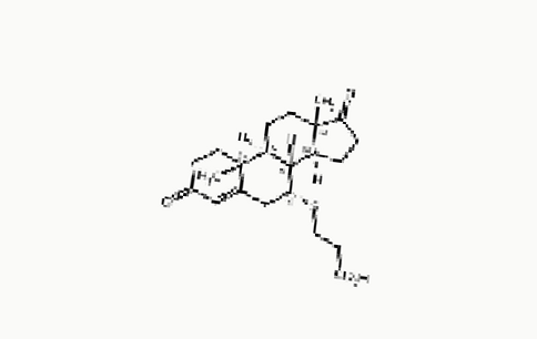 C[C@]12CCC(=O)C=C1C[C@@H](SCCC(=O)O)[C@@H]1[C@@H]2CC[C@]2(C)C(=O)CC[C@@H]12